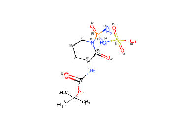 CC(C)(C)OC(=O)N[C@@H]1CCCN([P@](N)(=O)NS(=O)(=O)O)C1=O